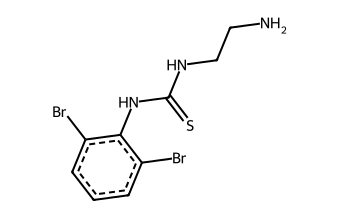 NCCNC(=S)Nc1c(Br)cccc1Br